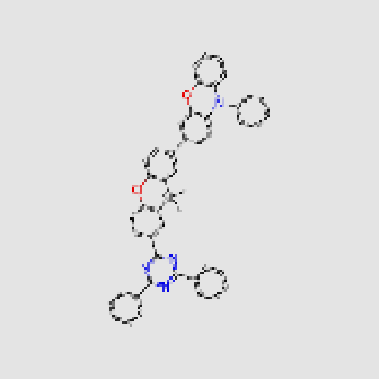 C[Si]1(C)c2cc(-c3ccc4c(c3)Oc3ccccc3N4c3ccccc3)ccc2Oc2ccc(-c3nc(-c4ccccc4)nc(-c4ccccc4)n3)cc21